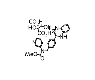 COC(=O)N(Cc1ccc(C(=O)Nc2ccccc2N)cc1)c1cccnc1.O=C(O)C(O)C(O)C(=O)O